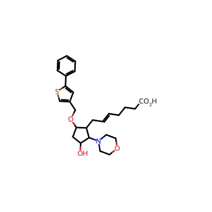 O=C(O)CCCC=CCC1C(OCc2csc(-c3ccccc3)c2)CC(O)C1N1CCOCC1